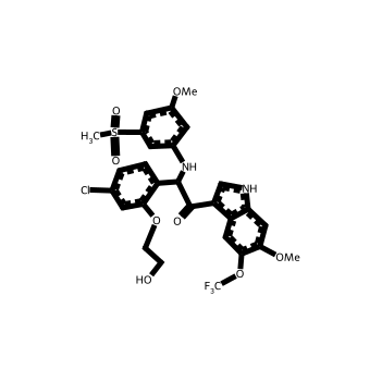 COc1cc(NC(C(=O)c2c[nH]c3cc(OC)c(OC(F)(F)F)cc23)c2ccc(Cl)cc2OCCO)cc(S(C)(=O)=O)c1